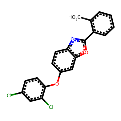 O=C(O)c1ccccc1-c1nc2ccc(Oc3ccc(Cl)cc3Cl)cc2o1